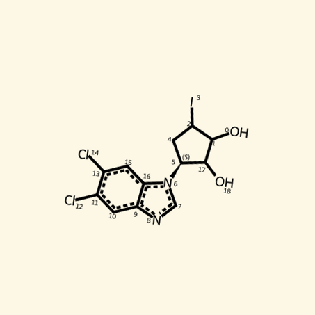 OC1C(I)C[C@H](n2cnc3cc(Cl)c(Cl)cc32)C1O